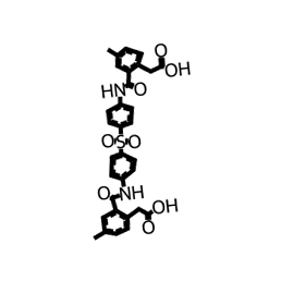 Cc1ccc(CC(=O)O)c(C(=O)Nc2ccc(S(=O)(=O)c3ccc(NC(=O)c4cc(C)ccc4CC(=O)O)cc3)cc2)c1